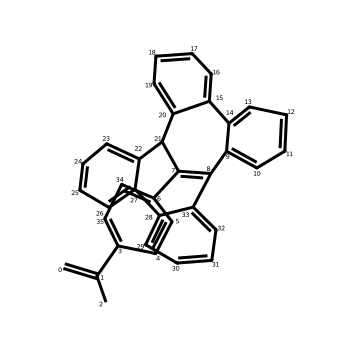 C=C(C)c1ccc(C2=C3c4ccccc4-c4ccccc4[C]2c2ccccc2-c2ccccc23)cc1